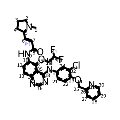 CN1CCCC1/C=C/C(=O)Nc1ccc2ncnc(Nc3ccc(OCc4ccccn4)c(Cl)c3)c2c1OCC(F)F